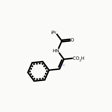 CC(C)C(=O)N/C(=C\c1ccccc1)C(=O)O